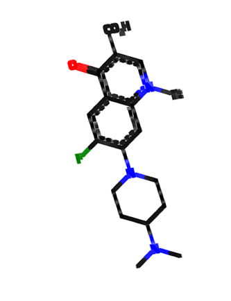 CCn1cc(C(=O)O)c(=O)c2cc(F)c(N3CCC(N(C)C)CC3)cc21